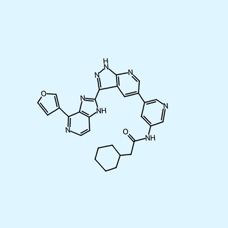 O=C(CC1CCCCC1)Nc1cncc(-c2cnc3[nH]nc(-c4nc5c(-c6ccoc6)nccc5[nH]4)c3c2)c1